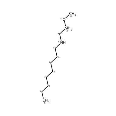 CCCCCCCCNC[SiH2]OC